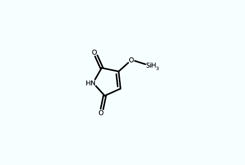 O=C1C=C(O[SiH3])C(=O)N1